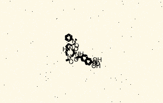 CC(=O)N1CC[C@H]2CC[C@@H](C(=O)N(C)c3ccccc3)N2C(=O)[C@@H](NC(=O)c2ccc3cc(P(=O)(O)O)ccc3c2)C1